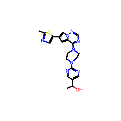 Cc1ncc(-c2cc3c(N4CCN(c5ncc(C(C)O)cn5)CC4)ncnn3c2)s1